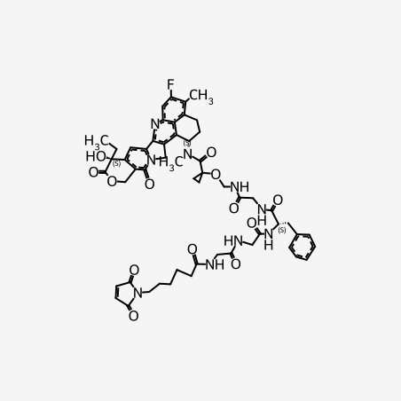 CC[C@@]1(O)C(=O)OCc2c1cc1n(c2=O)Cc2c-1nc1cc(F)c(C)c3c1c2[C@@H](N(C)C(=O)C1(OCNC(=O)CNC(=O)[C@H](Cc2ccccc2)NC(=O)CNC(=O)CNC(=O)CCCCCN2C(=O)C=CC2=O)CC1)CC3